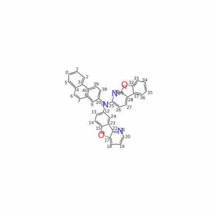 c1ccc2c(c1)ccc1cc(N(c3ccc4oc5cccnc5c4c3)c3ccc4c(n3)oc3ccccc34)ccc12